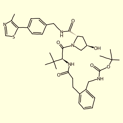 Cc1ncsc1-c1ccc(CNC(=O)[C@@H]2C[C@@H](O)CN2C(=O)[C@@H](NC(=O)CCc2ccccc2CNC(=O)OC(C)(C)C)C(C)(C)C)cc1